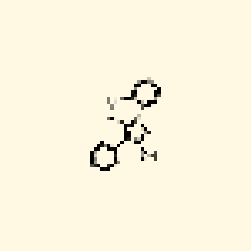 Cc1ccccc1-n1nc(O)c(-c2ccccc2)c1C(C)C